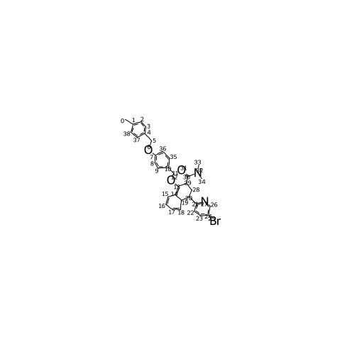 Cc1ccc(COc2ccc(COC3=C4C=CC=CC4C(c4ccc(Br)cn4)CC3C(=O)N(C)C)cc2)cc1